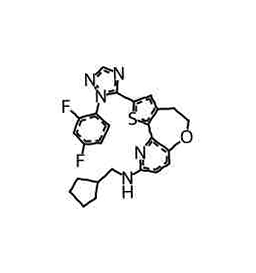 Fc1ccc(-n2ncnc2-c2cc3c(s2)-c2nc(NCC4CCCC4)ccc2OCC3)c(F)c1